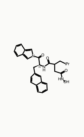 CC(C)CC(CC(=O)NO)C(=O)N[C@@H](Cc1ccc2ccccc2c1)C(=O)n1cc2ccccc2c1